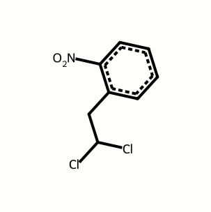 O=[N+]([O-])c1ccccc1CC(Cl)Cl